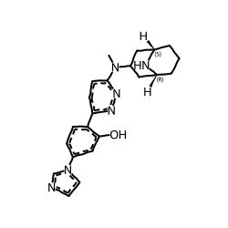 CN(c1ccc(-c2ccc(-n3ccnc3)cc2O)nn1)C1C[C@H]2CCC[C@@H](C1)N2